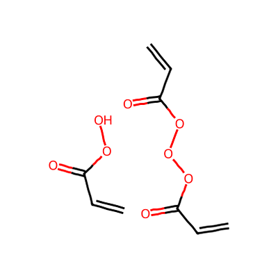 C=CC(=O)OO.C=CC(=O)OOOC(=O)C=C